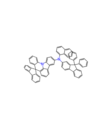 c1ccc(C2(c3ccccc3)c3ccccc3-c3ccc(N(c4ccc5c(c4)c4cccc6c4n5-c4ccccc4C64c5ccccc5-c5ccccc54)c4cccc5ccccc45)cc32)cc1